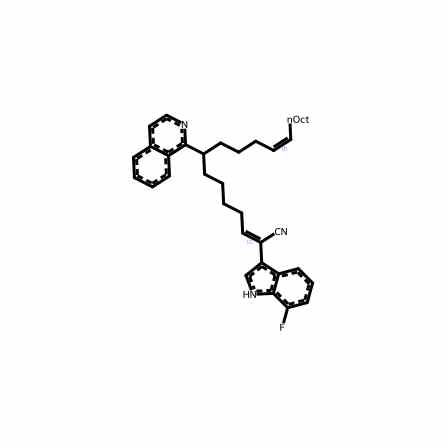 CCCCCCCC/C=C\CCCC(CCCC/C=C(\C#N)c1c[nH]c2c(F)cccc12)c1nccc2ccccc12